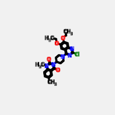 CCOc1cc2nc(Cl)nc(N3CCC(n4c(=O)c5cc(C)ccc5n(C)c4=O)CC3)c2cc1OCC